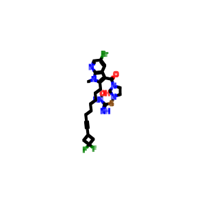 Cn1c(CCCCCCC#CC2CC(F)(F)C2)c(C(=O)N2CCN(SC(=N)NO)C2)c2cc(Br)cnc21